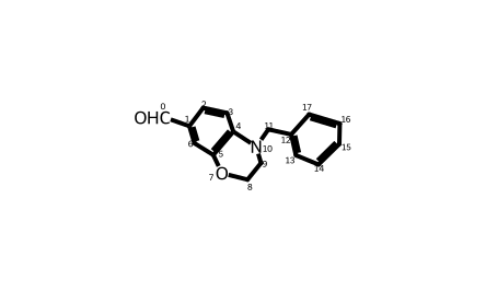 O=Cc1ccc2c(c1)OCCN2Cc1ccccc1